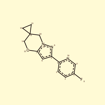 Fc1ccc(-c2cc3n(n2)CC2(CC2)CO3)nc1